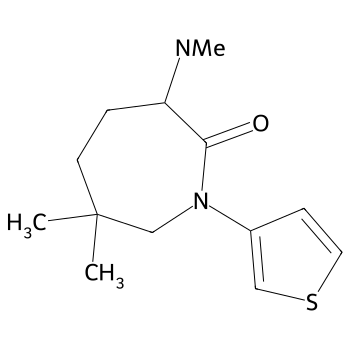 CNC1CCC(C)(C)CN(c2ccsc2)C1=O